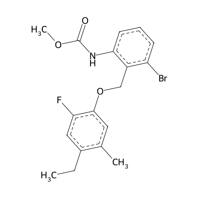 CCc1cc(F)c(OCc2c(Br)cccc2NC(=O)OC)cc1C